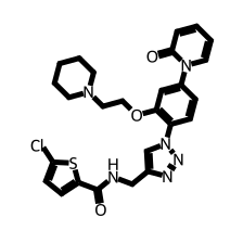 O=C(NCc1cn(-c2ccc(-n3ccccc3=O)cc2OCCN2CCCCC2)nn1)c1ccc(Cl)s1